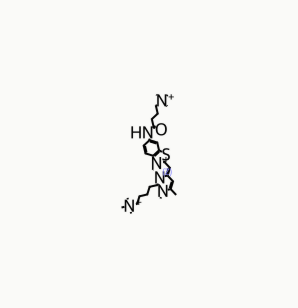 CC1=C/C(=C/c2sc3cc(NC(=O)CCC[N+](C)(C)C)ccc3[n+]2C)N=C(CCCC[N+](C)(C)C)N1C